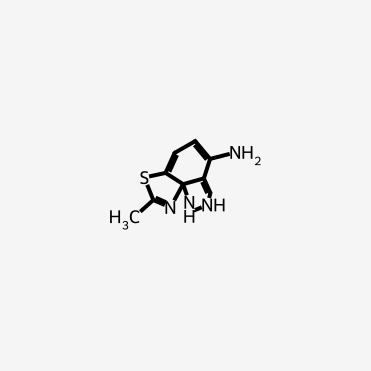 CC1=NC23NCNC=C2C(N)=CC=C3S1